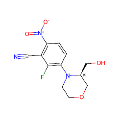 N#Cc1c([N+](=O)[O-])ccc(N2CCOC[C@@H]2CO)c1F